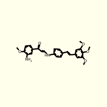 COc1ccc(C(=O)C=CNc2ccc(C=Cc3cc(OC)c(OC)c(OC)c3)cc2)cc1N